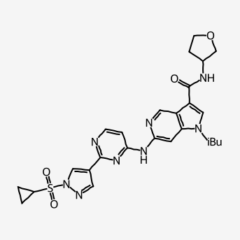 CCC(C)n1cc(C(=O)NC2CCOC2)c2cnc(Nc3ccnc(-c4cnn(S(=O)(=O)C5CC5)c4)n3)cc21